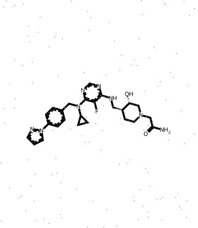 NC(=O)CN1CC[C@@H](CNc2ncnc(N(Cc3ccc(-n4cccn4)cc3)C3CC3)c2F)[C@H](O)C1